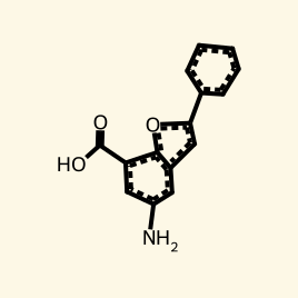 Nc1cc(C(=O)O)c2oc(-c3ccccc3)cc2c1